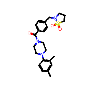 Cc1ccc(N2CCN(C(=O)c3ccc(CN4CCCS4(=O)=O)cc3)CC2)c(C)c1